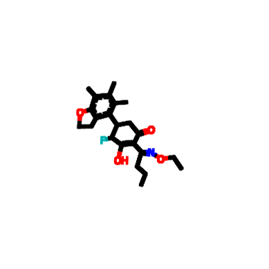 CCC/C(=N\OCC)C1=C(O)C(F)C(c2c(C)c(C)c(C)c3c2CCO3)CC1=O